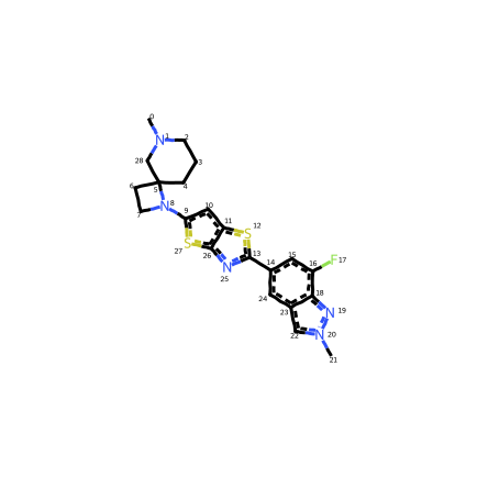 CN1CCCC2(CCN2c2cc3sc(-c4cc(F)c5nn(C)cc5c4)nc3s2)C1